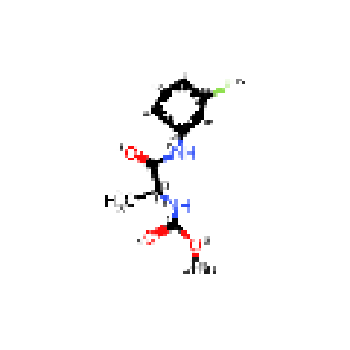 C[C@H](NC(=O)OC(C)(C)C)C(=O)Nc1cccc(F)c1